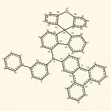 c1ccc(-c2cccc(N(c3ccc4c5ccccc5c5ccccc5c4c3)c3cccc4c3-c3ccccc3C43c4ccccc4Oc4ccccc43)c2)cc1